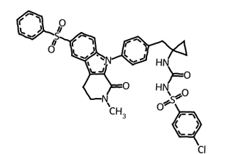 CN1CCc2c(n(-c3ccc(CC4(NC(=O)NS(=O)(=O)c5ccc(Cl)cc5)CC4)cc3)c3ccc(S(=O)(=O)c4ccccc4)cc23)C1=O